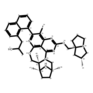 CC(O)Cc1cccc2cccc(-c3nc4c5c(nc(OC[C@@]67CCCN6C[C@H](F)C7)nc5c3F)N3C[C@H]5CC[C@H](N5)[C@H]3CO4)c12